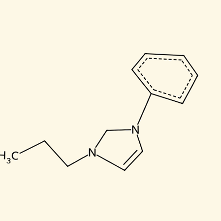 CCCN1C=CN(c2ccccc2)C1